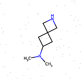 CN(C)C1CC2(CNC2)C1